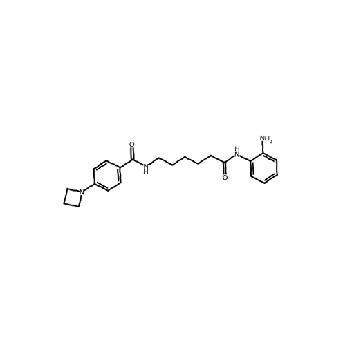 Nc1ccccc1NC(=O)CCCCCNC(=O)c1ccc(N2CCC2)cc1